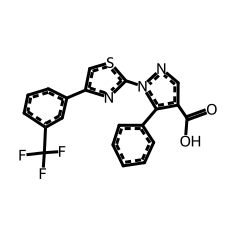 O=C(O)c1cnn(-c2nc(-c3cccc(C(F)(F)F)c3)cs2)c1-c1ccccc1